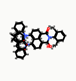 CC(C)c1cccc(C(C)C)c1N1C(=O)c2ccc(N3c4ccccc4C(C)(C)c4ccccc43)c3c(-n4c5ccccc5c5ccccc54)ccc(c23)C1O